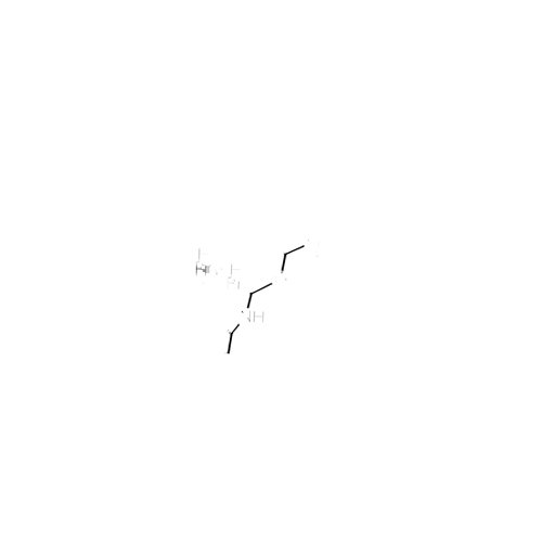 Br.Br.Br.CCNCO[CH2][Sn]